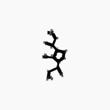 C=CC(=O)c1coc(C(=O)C=C)c1O